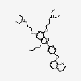 CCCCn1c(-c2ccc(Oc3cccc4cccnc34)cc2)nc2c(OCCCN(CC)CC)cc(OCCCN(CC)CC)cc21